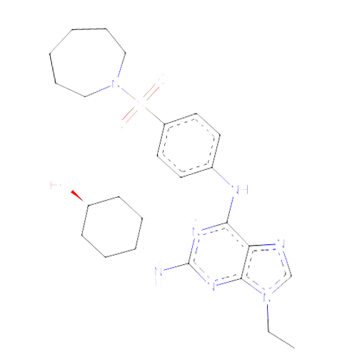 CCn1cnc2c(Nc3ccc(S(=O)(=O)N4CCCCCC4)cc3)nc(N[C@H]3CC[C@H](O)CC3)nc21